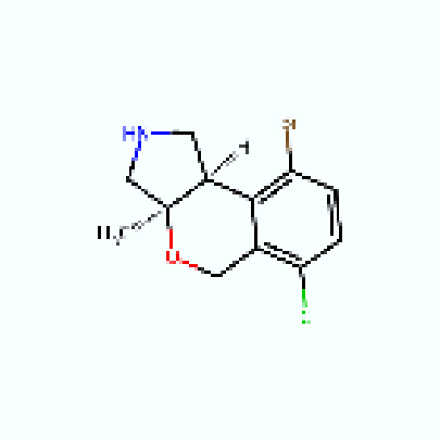 C[C@]12CNC[C@H]1c1c(Br)ccc(Cl)c1CO2